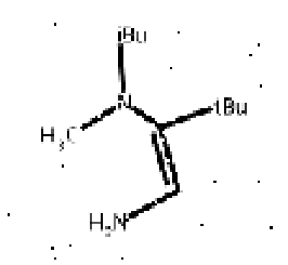 CCC(C)N(C)/C(=C\N)C(C)(C)C